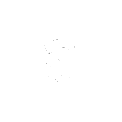 NS(=O)(=O)S(=O)(=O)Oc1ccccc1O